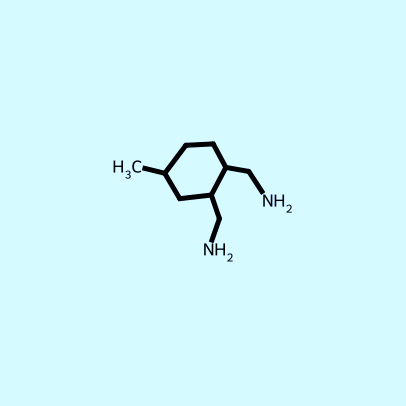 CC1CCC(CN)C(CN)C1